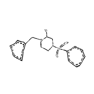 CCC1CN(S(=O)(=O)c2ccccc2)CCN1Cc1ccccc1